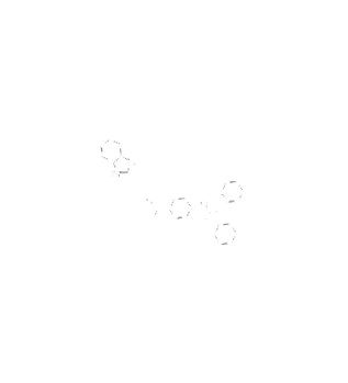 O=C(c1ccc2c(c1)OCC(c1ccccc1)N2S(=O)(=O)c1ccccc1)N1CCC(c2nc3ccccc3[nH]2)CC1